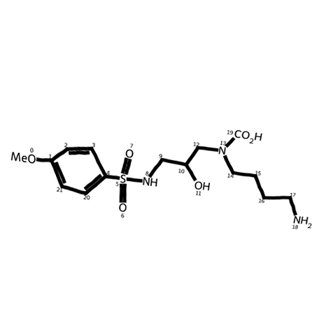 COc1ccc(S(=O)(=O)NCC(O)CN(CCCCN)C(=O)O)cc1